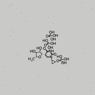 C[C@H]1O[C@@H](c2cn(C3CC3)c(=O)[nH]c2=O)[C@H](O)[C@@H]1O.O=P(O)(O)O.O=P(O)(O)O.O=P(O)(O)O